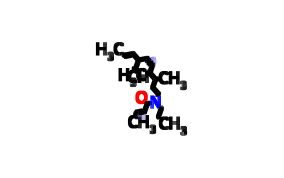 C#CC(C=CC)/C=C\C(C)C(C)CCN(CCC)C(=O)/C=C/C